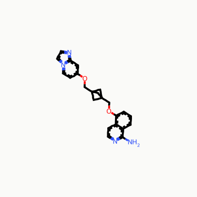 Nc1nccc2c(OCC34CC(COc5ccn6ccnc6c5)(C3)C4)cccc12